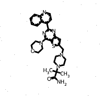 CC(C)(C(N)=O)N1CCN(Cc2cc3nc(-c4ccnc5ccccc45)nc(N4CCOCC4)c3s2)CC1